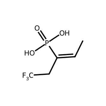 C/C=C(/CC(F)(F)F)P(=O)(O)O